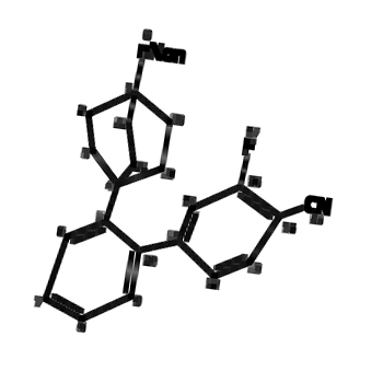 CCCCCCCCCC12CCC(c3ccccc3-c3ccc(C#N)c(F)c3)(CC1)CC2